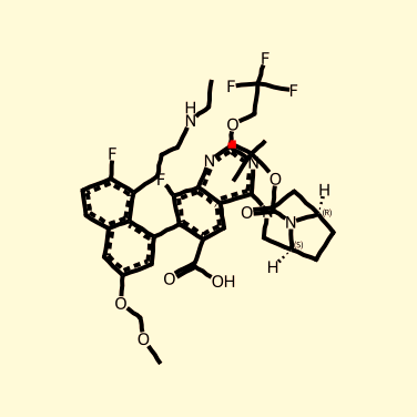 CCNCCCc1c(F)ccc2cc(OCOC)cc(-c3c(C(=O)O)cc4c(N5C[C@H]6CC[C@@H](C5)N6C(=O)OC(C)(C)C)nc(OCC(F)(F)F)nc4c3F)c12